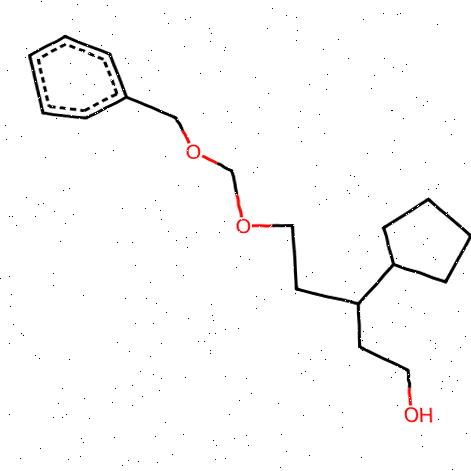 OCCC(CCOCOCc1ccccc1)C1CCCC1